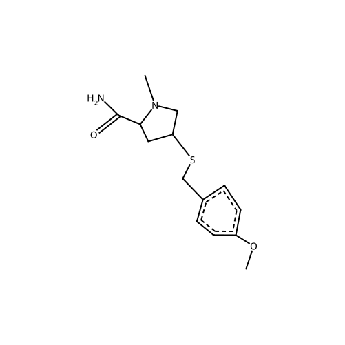 COc1ccc(CSC2CC(C(N)=O)N(C)C2)cc1